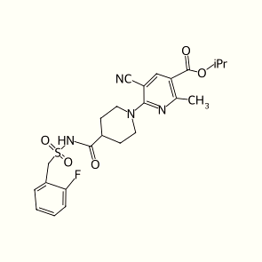 Cc1nc(N2CCC(C(=O)NS(=O)(=O)Cc3ccccc3F)CC2)c(C#N)cc1C(=O)OC(C)C